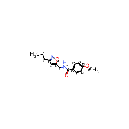 CCCc1cc(CNC(=O)c2ccc(OC)cc2)on1